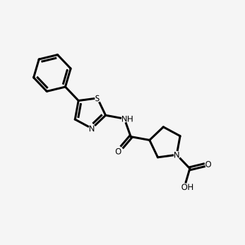 O=C(Nc1ncc(-c2ccccc2)s1)C1CCN(C(=O)O)C1